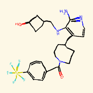 Nc1nccc(C2CCN(C(=O)c3ccc(S(F)(F)(F)(F)F)cc3)CC2)c1NCC1CC(O)C1